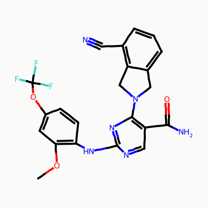 COc1cc(OC(F)(F)F)ccc1Nc1ncc(C(N)=O)c(N2Cc3cccc(C#N)c3C2)n1